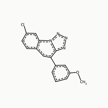 COc1cccc(-c2cc3ccc(Cl)cc3n3nnnc23)c1